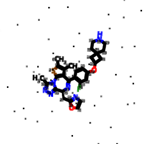 Cc1sc2c(c1C)C(c1ccc(OC3CC4(CCNCC4)C3)cc1F)=N[C@@H](Cc1ncco1)c1nnc(C)n1-2